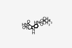 CC(C)(C)OC(=O)Nc1ccc2[nH]c3c(c2c1)C1CN(C3)C(=O)NC1=O